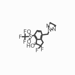 O=S(=O)(c1ccc(Cn2nccn2)c2c1[C@H](O)C(F)(F)C2)C(F)(F)F